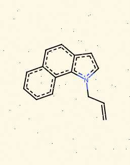 C=CCn1ccc2ccc3ccccc3c21